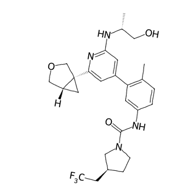 Cc1ccc(NC(=O)N2CC[C@@H](CC(F)(F)F)C2)cc1-c1cc(N[C@H](C)CO)nc([C@@]23COC[C@H]2C3)c1